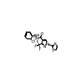 O=C(NNc1ccccc1Cl)c1cn(-c2nccs2)nc1C(F)(F)F